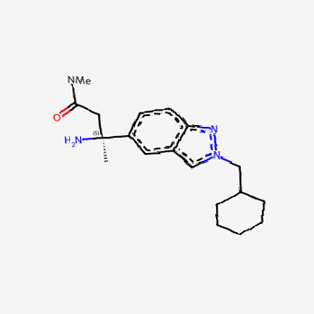 CNC(=O)C[C@](C)(N)c1ccc2nn(CC3CCCCC3)cc2c1